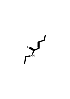 [CH2]CNC(=O)C=CCC